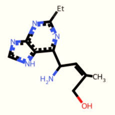 CCc1nc(C(N)C=C(C)CO)c2[nH]cnc2n1